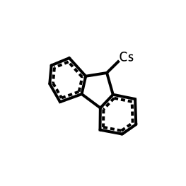 [Cs][CH]1c2ccccc2-c2ccccc21